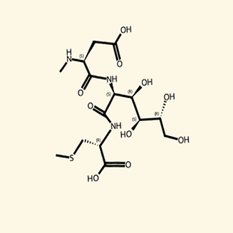 CN[C@@H](CC(=O)O)C(=O)N[C@H](C(=O)N[C@@H](CSC)C(=O)O)[C@@H](O)[C@H](O)[C@H](O)CO